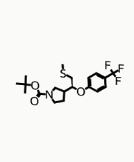 CSC[C@@H](Oc1ccc(C(F)(F)F)cc1)C1CCN(C(=O)OC(C)(C)C)C1